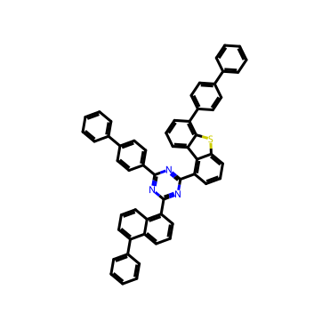 c1ccc(-c2ccc(-c3nc(-c4cccc5c(-c6ccccc6)cccc45)nc(-c4cccc5sc6c(-c7ccc(-c8ccccc8)cc7)cccc6c45)n3)cc2)cc1